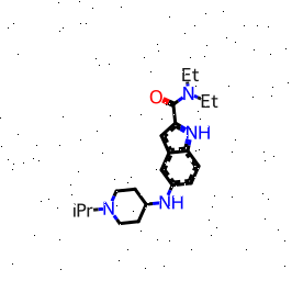 CCN(CC)C(=O)c1cc2cc(NC3CCN(C(C)C)CC3)ccc2[nH]1